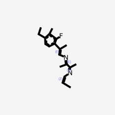 C\C=C/N=C(C)\C(C)=N\C=C(/C)c1ccc(CC)c(C)c1F